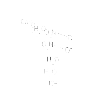 O.O.O.O.O=[N+]([O-])[O-].O=[N+]([O-])[O-].[Ca+2].[KH]